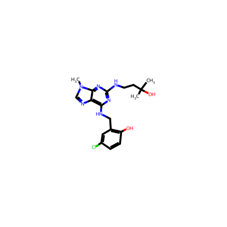 Cn1cnc2c(NCc3cc(Cl)ccc3O)nc(NCCC(C)(C)O)nc21